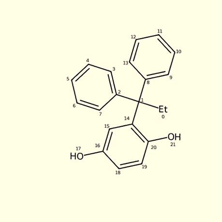 CCC(c1ccccc1)(c1ccccc1)c1cc(O)ccc1O